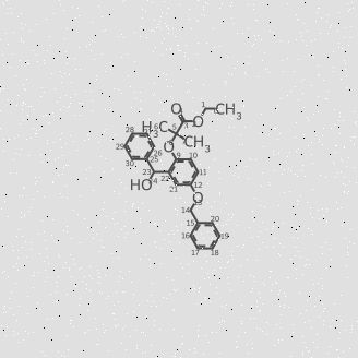 CCOC(=O)C(C)(C)Oc1ccc(OCc2ccccc2)cc1C(O)c1ccccc1